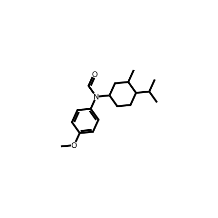 COc1ccc(N(C=O)C2CCC(C(C)C)C(C)C2)cc1